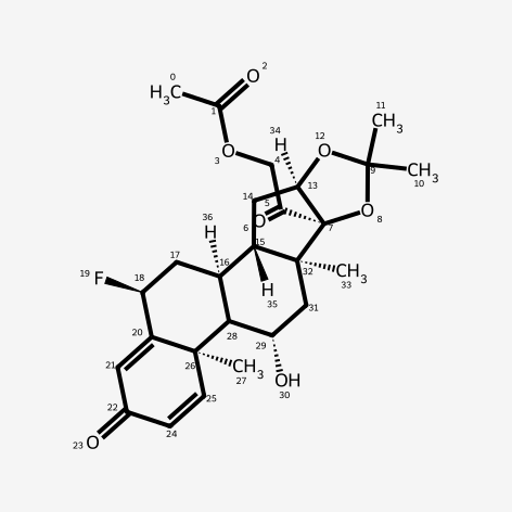 CC(=O)OCC(=O)[C@@]12OC(C)(C)O[C@@H]1C[C@H]1[C@@H]3C[C@H](F)C4=CC(=O)C=C[C@]4(C)C3[C@@H](O)C[C@@]12C